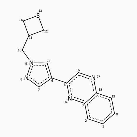 c1ccc2nc(-c3cnn(CC4CSC4)c3)cnc2c1